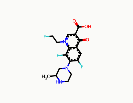 CC1CN(c2c(F)cc3c(=O)c(C(=O)O)cn(CCF)c3c2F)CCN1